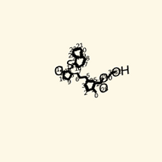 Cc1ccc(CCC[C@H]2CCC(=O)[C@@H]2Sc2cccc3ccccc23)cc1C(=O)OCCO